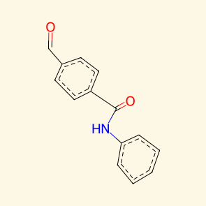 O=Cc1ccc(C(=O)Nc2ccccc2)cc1